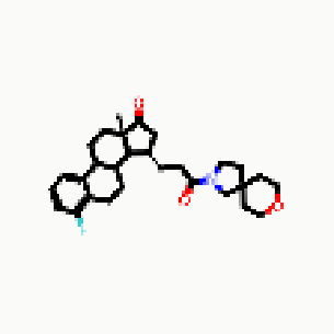 C[C@]12CCC3c4cccc(F)c4CCC3C1[C@H](CCC(=O)N1CCC3(CCOCC3)C1)CC2=O